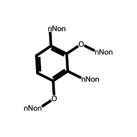 CCCCCCCCCOc1ccc(CCCCCCCCC)c(OCCCCCCCCC)c1CCCCCCCCC